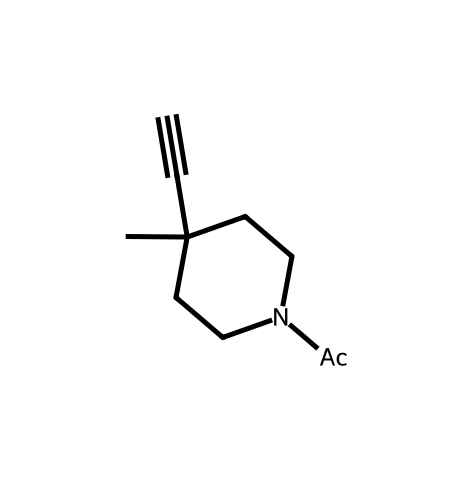 C#CC1(C)CCN(C(C)=O)CC1